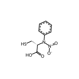 O=C(O)[C@H](CS)N(c1ccccc1)[N+](=O)[O-]